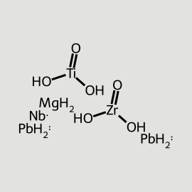 [MgH2].[Nb].[O]=[Ti]([OH])[OH].[O]=[Zr]([OH])[OH].[PbH2].[PbH2]